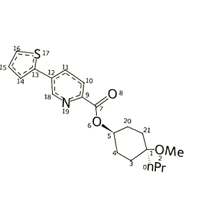 CCC[C@]1(OC)CC[C@@H](OC(=O)c2ccc(-c3cccs3)cn2)CC1